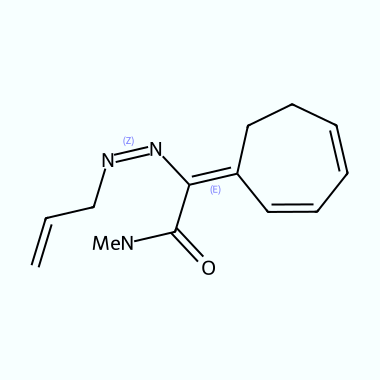 C=CC/N=N\C(C(=O)NC)=C1\C=CC=CCC1